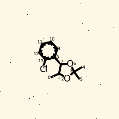 CC1OC(C)(C)OC1c1ccccc1Cl